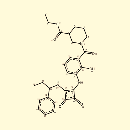 CCOC(=O)C1CCCN(C(=O)c2cccc(Nc3c(NC(CC)c4ccccc4)c(=O)c3=O)c2O)C1